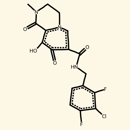 CN1CCn2cc(C(=O)NCc3ccc(F)c(Cl)c3F)c(=O)c(O)c2C1=O